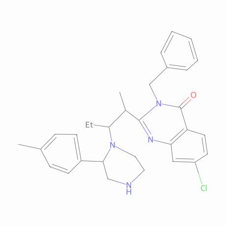 CCC(C(C)c1nc2cc(Cl)ccc2c(=O)n1Cc1ccccc1)N1CCNCC1c1ccc(C)cc1